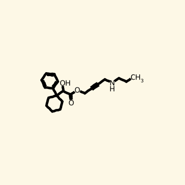 CCCNCC#CCOC(=O)C(O)C1(c2ccccc2)CCCCC1